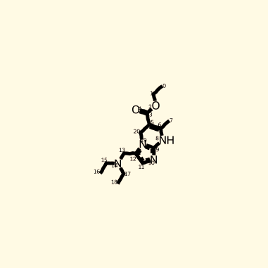 CCOC(=O)C1=C(C)Nc2ncc(CN(CC)CC)n2C1